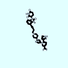 Cn1c(=O)n(C2CCC(=O)NC2=O)c2cccc(C#CCCN3CCC(n4cc(N5CC(C(F)F)=CC=C5c5cc[nH]n5)cn4)CC3)c21